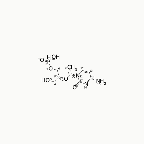 C[C@@H](O[C@H](CO)CO[PH](=O)O)n1ccc(N)nc1=O